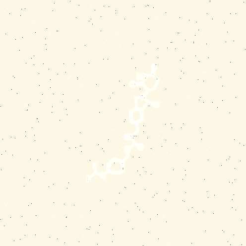 O=C1CCC(N2Cc3ccc(CNC(=O)OCc4ccc(OC(F)F)cc4)cc3C2=O)C(=O)N1